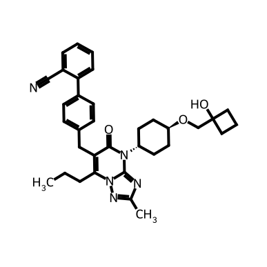 CCCc1c(Cc2ccc(-c3ccccc3C#N)cc2)c(=O)n([C@H]2CC[C@H](OCC3(O)CCC3)CC2)c2nc(C)nn12